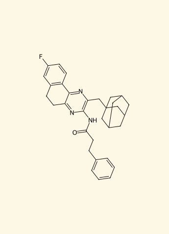 O=C(CCc1ccccc1)Nc1nc2c(nc1CC13CC4CC(CC(C4)C1)C3)-c1ccc(F)cc1CC2